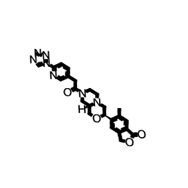 Cc1cc2c(cc1[C@@H]1CN3CCN(C(=O)Cc4ccc(-n5cnnn5)nc4)C[C@H]3CO1)COC2=O